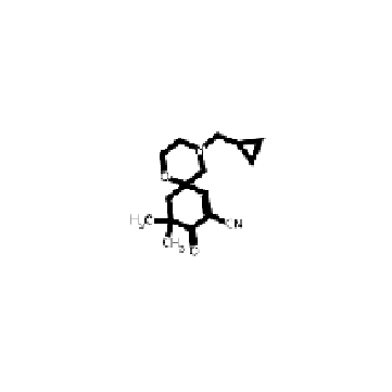 CC1(C)CC2(C=C(C#N)C1=O)CN(CC1CC1)CCO2